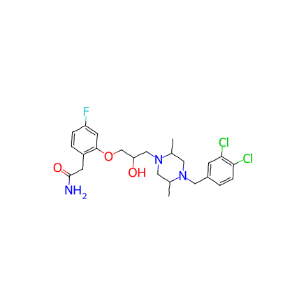 CC1CN(CC(O)COc2cc(F)ccc2CC(N)=O)C(C)CN1Cc1ccc(Cl)c(Cl)c1